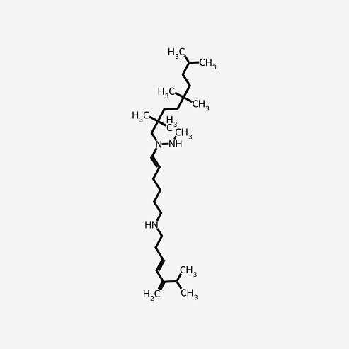 C=C(/C=C/CCNCCCCC=CN(CC(C)(C)CCC(C)(C)CCC(C)C)NC)C(C)C